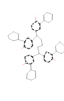 Oc1ccc(C(CCCC(c2ccc(O)c(C3CCCCC3)c2)c2ccc(O)c(C3CCCCC3)c2)c2ccc(O)c(C3CCCCC3)c2)cc1C1CCCCC1